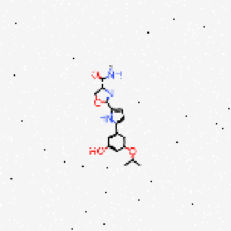 CNC(=O)C1COC(c2ccc(-c3cc(O)cc(OC(C)C)c3)[nH]2)=N1